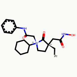 CC(C)C[C@@]1(CC(=O)NO)CC[N@+](CC(=O)Nc2ccccc2)(C2CCCCC2)C1=O